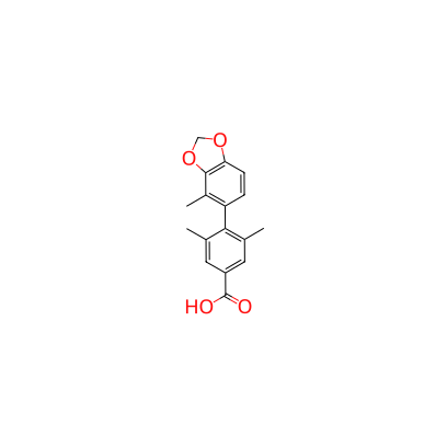 Cc1cc(C(=O)O)cc(C)c1-c1ccc2c(c1C)OCO2